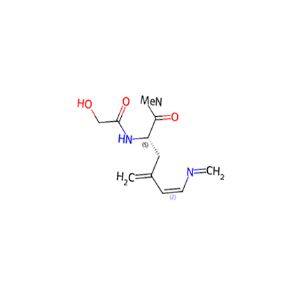 C=N/C=C\C(=C)C[C@H](NC(=O)CO)C(=O)NC